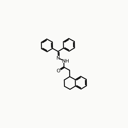 O=C(CC1CCCc2ccccc21)NN=C(c1ccccc1)c1ccccc1